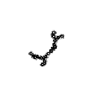 c1ccc(-c2ccc(N(c3ccc(-c4ccc5c(ccc6nc(-c7ccc(-c8ccc(-c9ccc(N(c%10ccc(-c%11ccc%12c(ccc%13oc(-c%14ccccc%14)nc%13%12)c%11)cc%10)c%10ccc%11sc%12ccccc%12c%11c%10)cc9)cc8)cc7)oc65)c4)cc3)c3ccc4oc5ccccc5c4c3)cc2)cc1